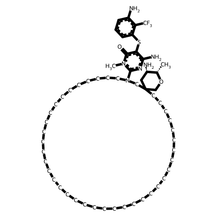 C[C@@H]1OCC2(CCCCCCCCCCCCCCCCCCCCCCCCCCCCCCCCCCCCCCN(c3nc(N)c(Sc4cccc(N)c4C(F)(F)F)c(=O)n3C)C2)C[C@@H]1N